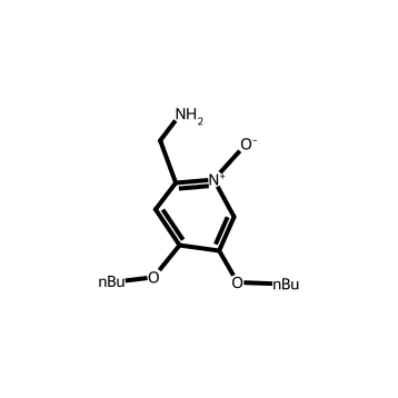 CCCCOc1cc(CN)[n+]([O-])cc1OCCCC